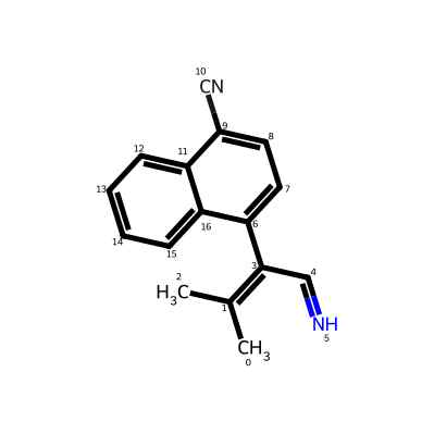 CC(C)=C(C=N)c1ccc(C#N)c2ccccc12